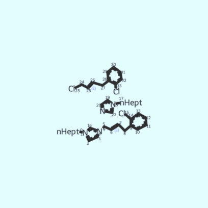 CCCCCCCn1cc[n+](C/C=C/Cc2ccccc2Cl)c1.CCCCCCCn1ccnc1.ClC/C=C/Cc1ccccc1Cl